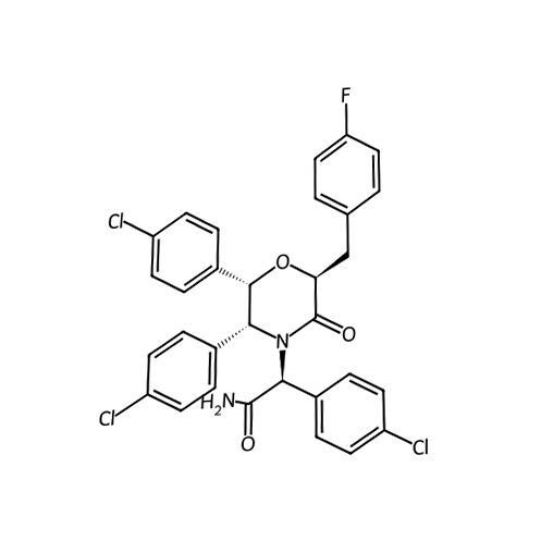 NC(=O)[C@H](c1ccc(Cl)cc1)N1C(=O)[C@H](Cc2ccc(F)cc2)O[C@@H](c2ccc(Cl)cc2)[C@H]1c1ccc(Cl)cc1